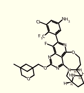 CC12COCC(COc3nc4c5c(nc(-c6cc(N)cc(Cl)c6C(F)(F)F)c(F)c5n3)OCC[C@@H]3[C@@H]5CC[C@H](CN43)N5)(C1)C2